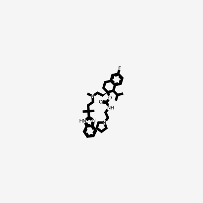 CC(C)C1c2ccc(F)cc2CC[C@@]1(CCN(C)CCC(C)(C)c1nc2ccccc2[nH]1)OC(=O)NCCN1CCCC1